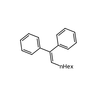 CCCCCCC=C(c1ccccc1)c1ccccc1